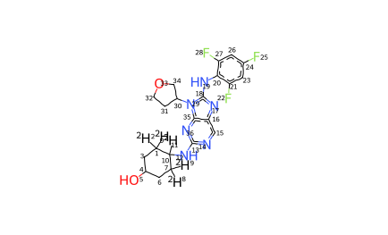 [2H]C1([2H])CC(O)CC([2H])([2H])C1([2H])Nc1ncc2nc(Nc3c(F)cc(F)cc3F)n(C3CCOC3)c2n1